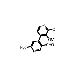 COc1c(-c2cc(C)ncc2C=O)ccnc1Cl